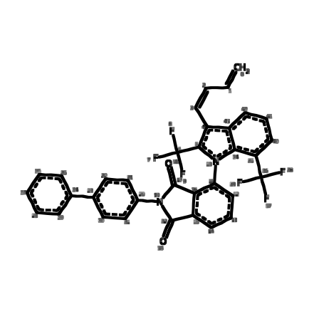 C=C/C=C\c1c(C(F)(F)F)n(-c2cccc3c2C(=O)N(c2ccc(-c4ccccc4)cc2)C3=O)c2c(C(F)(F)F)cccc12